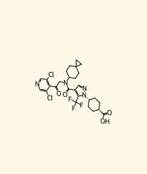 O=C(CN(C(=O)c1cnn([C@H]2CC[C@H](C(=O)O)CC2)c1C(F)(F)F)C1CCC2(CC1)CC2)c1c(Cl)cncc1Cl